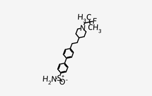 CC(C)(F)CN1CCC(CCc2ccc(-c3ccc([S+](N)[O-])cc3)cc2)CC1